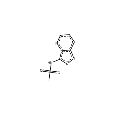 CS(=O)(=O)Nc1nnc2cc[c]nn12